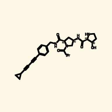 CC(C)C(=O)N1C[C@H](NC(=O)[C@H]2NCC[C@H]2O)C[C@@H]1C(=O)NCc1ccc(C#CC#CC2CC2)cc1